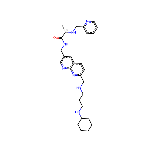 C[C@H](NCc1ccccn1)C(=O)NCc1cnc2nc(CNCCCNC3CCCCC3)ccc2c1